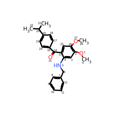 COc1cc(NCc2ccccc2)c(C(=O)c2ccc(C(C)C)cc2)cc1OC